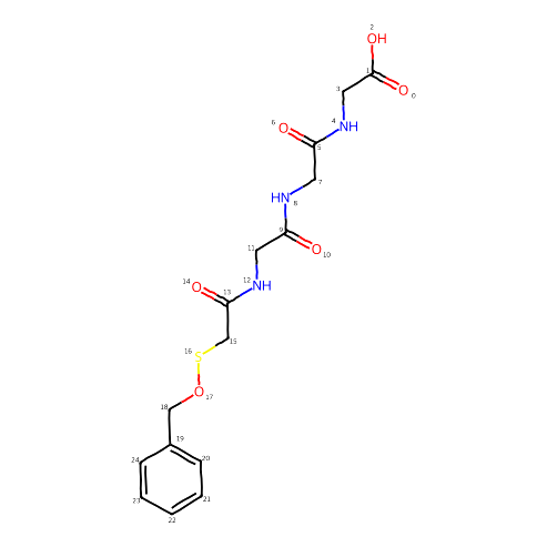 O=C(O)CNC(=O)CNC(=O)CNC(=O)CSOCc1ccccc1